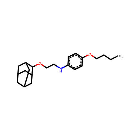 CCCCOc1ccc(NCCOC2C3CC4CC(C3)CC2C4)cc1